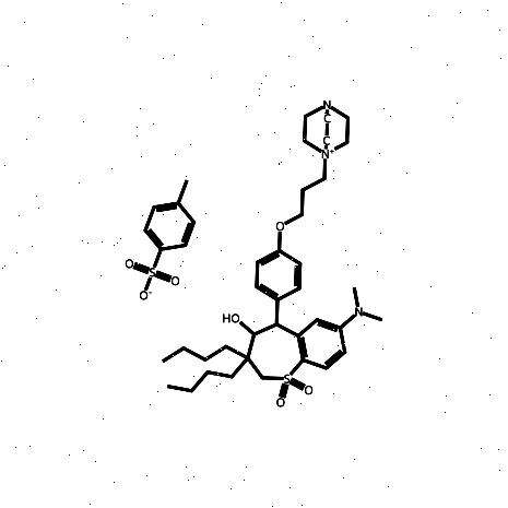 CCCCC1(CCCC)CS(=O)(=O)c2ccc(N(C)C)cc2C(c2ccc(OCCC[N+]34CCN(CC3)CC4)cc2)C1O.Cc1ccc(S(=O)(=O)[O-])cc1